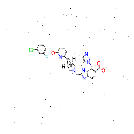 CCn1cncc1Cn1c(CN2C[C@@H]3[C@H](C2)[C@@H]3c2cccc(OCc3ccc(Cl)cc3F)n2)nc2ccc(C(=O)OC)cc21